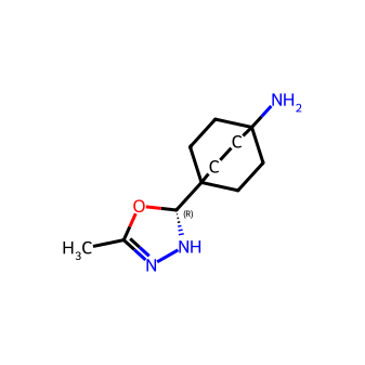 CC1=NN[C@@H](C23CCC(N)(CC2)CC3)O1